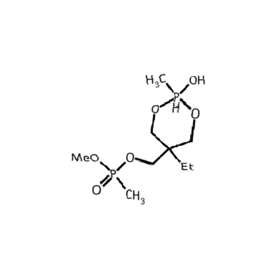 CCC1(COP(C)(=O)OC)CO[PH](C)(O)OC1